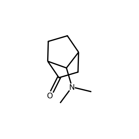 CN(C)C1C2CCC1C(=O)C2